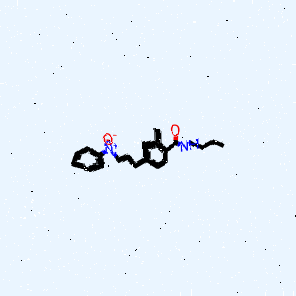 CCCCNC(=O)c1ccc(C=CC=[N+]([O-])c2ccccc2)cc1C